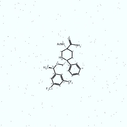 CC(=O)N[C@]1(C(N)=O)CC[C@@](CO[C@H](C)c2cc(C(F)(F)F)cc(C(F)(F)F)c2)(c2ccccc2)NC1